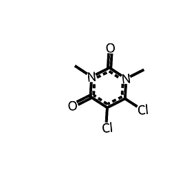 Cn1c(Cl)c(Cl)c(=O)n(C)c1=O